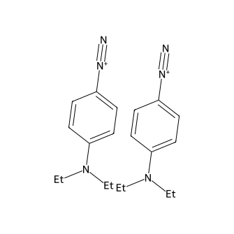 CCN(CC)c1ccc([N+]#N)cc1.CCN(CC)c1ccc([N+]#N)cc1